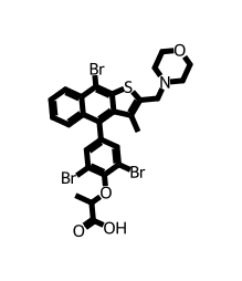 Cc1c(CN2CCOCC2)sc2c(Br)c3ccccc3c(-c3cc(Br)c(OC(C)C(=O)O)c(Br)c3)c12